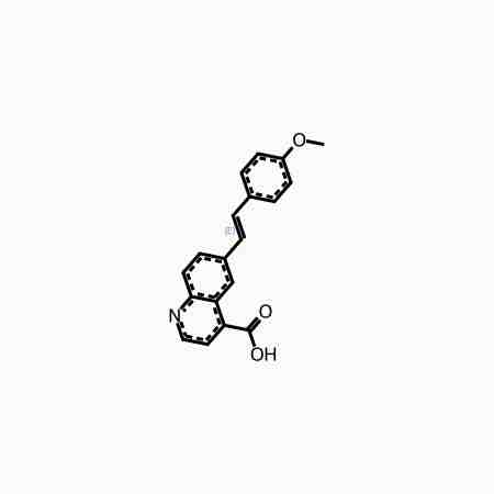 COc1ccc(/C=C/c2ccc3nccc(C(=O)O)c3c2)cc1